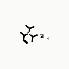 C=CC(C)N(C(C)C)C(C)C.[SiH4]